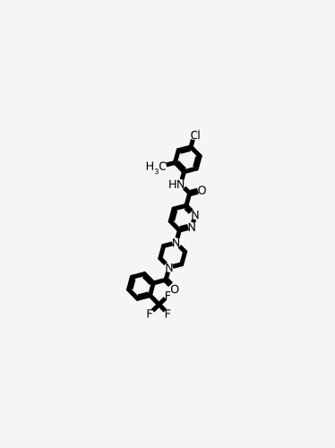 Cc1cc(Cl)ccc1NC(=O)c1ccc(N2CCN(C(=O)c3ccccc3C(F)(F)F)CC2)nn1